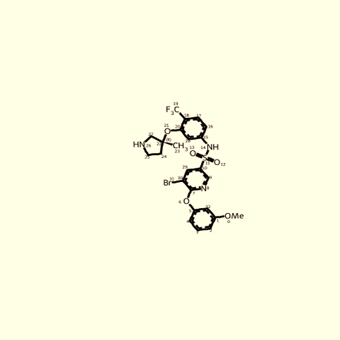 COc1cccc(Oc2ncc(S(=O)(=O)Nc3ccc(C(F)(F)F)c(O[C@]4(C)CCNC4)c3)cc2Br)c1